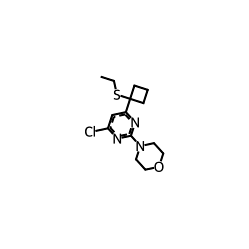 CCSC1(c2cc(Cl)nc(N3CCOCC3)n2)CCC1